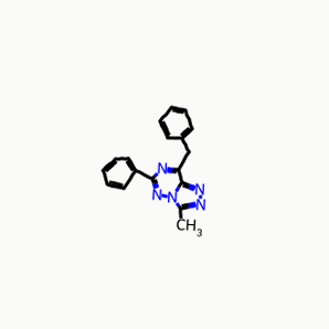 Cc1nnc2c(Cc3ccccc3)nc(-c3ccccc3)nn12